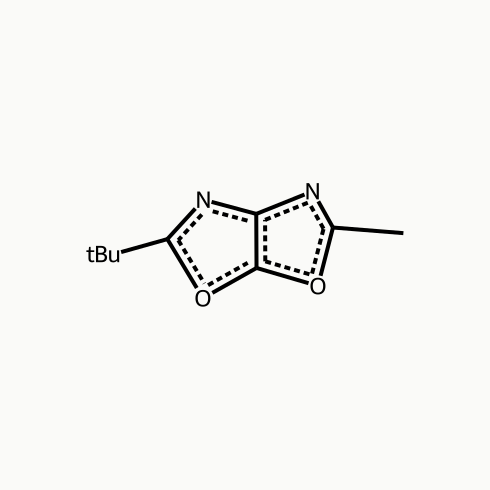 Cc1nc2nc(C(C)(C)C)oc2o1